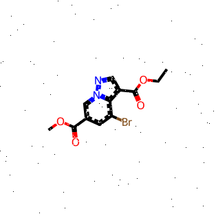 CCOC(=O)c1cnn2cc(C(=O)OC)cc(Br)c12